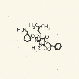 CC(C)=CCn1c(O[C@@H]2CCCC[C@H]2CN)nc2c1c(=O)n(CC(=O)c1ccccc1)c(=O)n2C